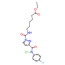 CCOC(=O)CCCCCNC(=O)n1ccc(C(=O)N(Cl)c2ccc(F)cc2)n1